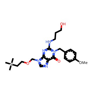 COc1ccc(Cn2c(NCCCO)nc3c(ncn3COCC[Si](C)(C)C)c2=O)cc1